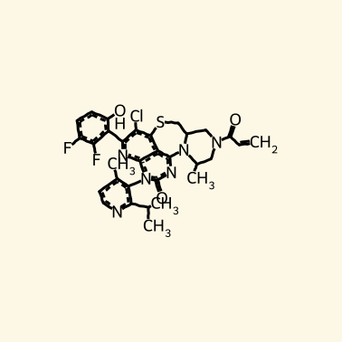 C=CC(=O)N1CC(C)N2c3nc(=O)n(-c4c(C)ccnc4C(C)C)c4nc(-c5c(O)ccc(F)c5F)c(Cl)c(c34)SCC2C1